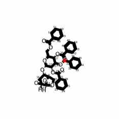 O=C(OCC1O[C@@H](O[C@@H]2C3CO[C@H](O3)[C@@H]3OC23)[C@@H](OC(=O)c2ccccc2)C(OC(=O)c2ccccc2)[C@@H]1OC(=O)c1ccccc1)c1ccccc1